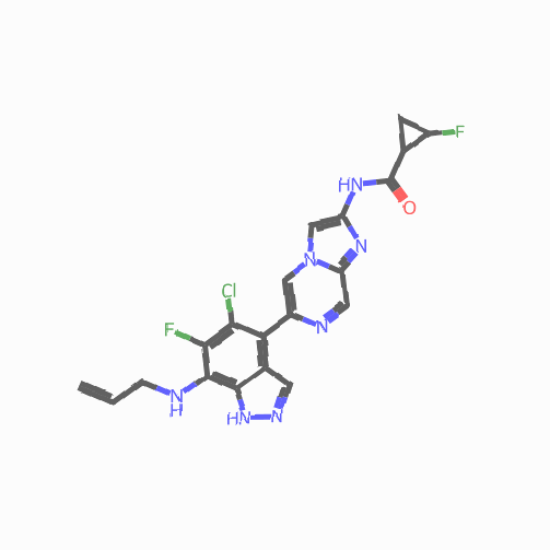 C=CCNc1c(F)c(Cl)c(-c2cn3cc(NC(=O)C4CC4F)nc3cn2)c2cn[nH]c12